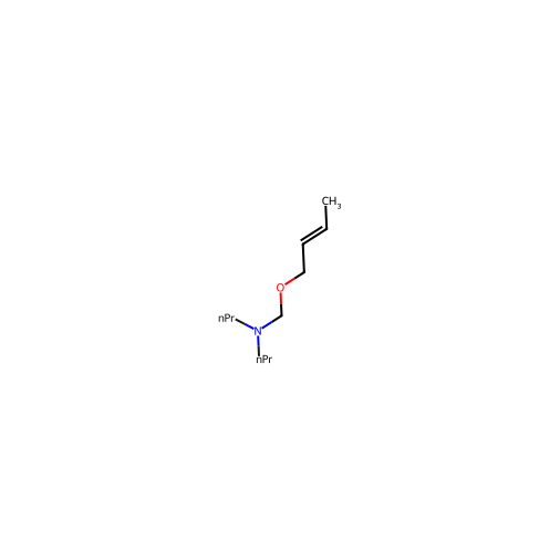 C/C=C/COCN(CCC)CCC